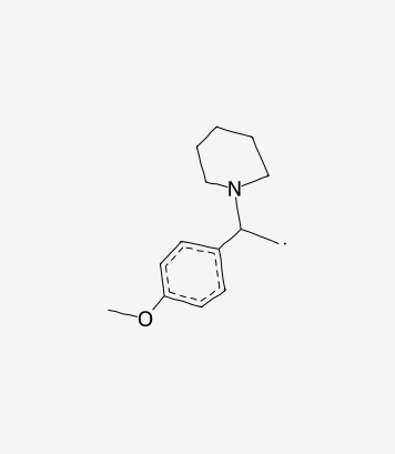 [CH2]C(c1ccc(OC)cc1)N1CCCCC1